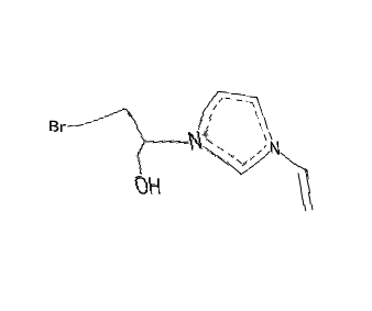 C=Cn1cc[n+](C(O)CBr)c1